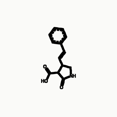 O=C(O)C1C(=O)NCC1C=Cc1ccccc1